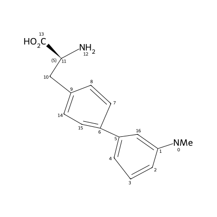 CNc1cccc(-c2ccc(C[C@H](N)C(=O)O)cc2)c1